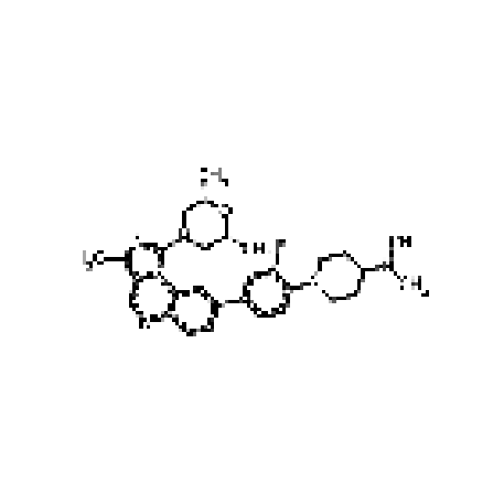 Cc1nc(N2C[C@@H](C)O[C@@H](C)C2)n2c1cnc1ccc(-c3ccc(N4CCC(N(C)C)CC4)c(F)c3)cc12